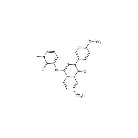 CCOC(=O)c1ccc2c(Nc3cccn(C)c3=O)nn(-c3ccc(OC(F)(F)F)cc3)c(=O)c2c1